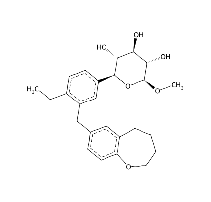 CCc1ccc([C@@H]2O[C@H](OC)[C@@H](O)[C@H](O)[C@H]2O)cc1Cc1ccc2c(c1)CCCCO2